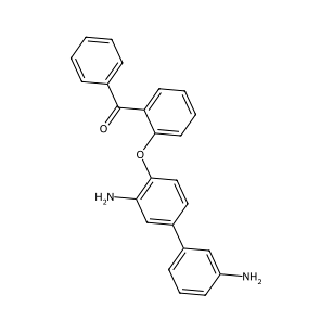 Nc1cccc(-c2ccc(Oc3ccccc3C(=O)c3ccccc3)c(N)c2)c1